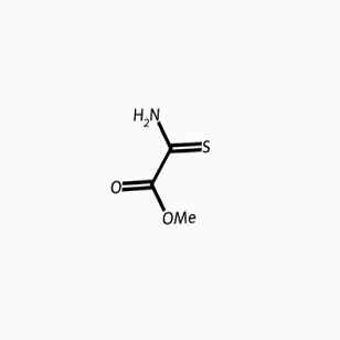 COC(=O)C(N)=S